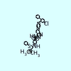 CN(C)CCC(CSc1ccccc1)Nc1ccc(S(=O)(=O)Nc2ncnc3cc(N4CCN(Cc5cc(Cl)ccc5-c5ccccc5)CC4)ccc23)cc1